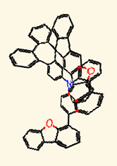 c1ccc(-c2ccccc2N(c2ccc(-c3cccc4c3oc3ccccc34)cc2)c2ccc3c(c2)C2(c4ccccc4-c4ccccc4-3)c3ccccc3-c3cc4oc5ccccc5c4cc32)cc1